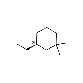 [CH2]C[C@H]1CCCC(C)(C)C1